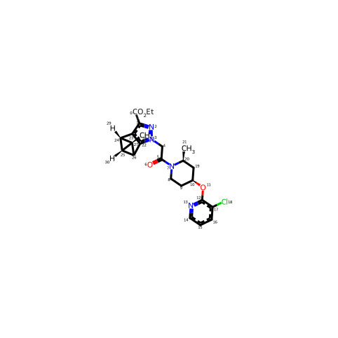 CCOC(=O)c1nn(CC(=O)N2CC[C@H](Oc3ncccc3Cl)C[C@@H]2C)c2c1[C@H]1[C@H]3C2[C@]31C